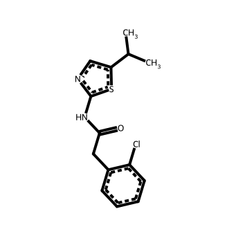 CC(C)c1cnc(NC(=O)Cc2ccccc2Cl)s1